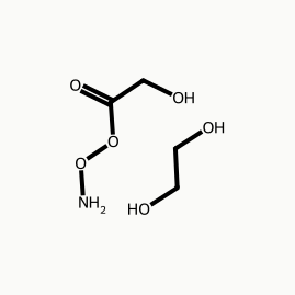 NOOC(=O)CO.OCCO